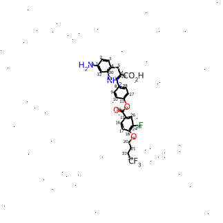 Nc1ccc(CC(=Cc2ccc(OC(=O)c3ccc(OCCCC(F)(F)F)c(F)c3)cc2)C(=O)O)c(N)c1